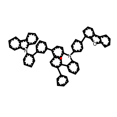 c1ccc(-c2ccccc2-c2ccccc2N(c2ccc(-c3cccc(-c4ccccc4-n4c5ccccc5c5ccccc54)c3)cc2)c2ccc(-c3cccc4c3oc3ccccc34)cc2)cc1